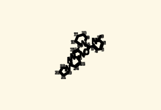 Cc1cccc(C(=O)N2CCCC[C@H]2c2cn3nc(N4CCCC4)ccc3n2)n1